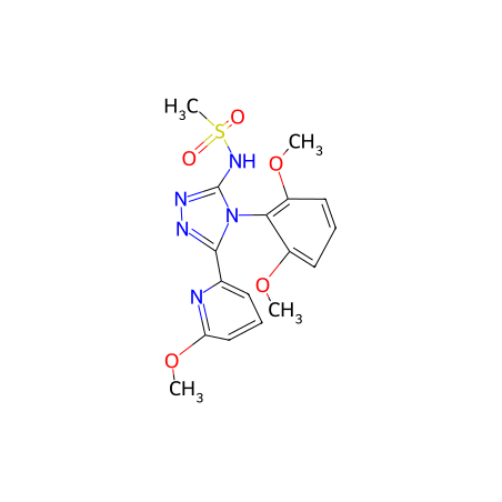 COc1cccc(-c2nnc(NS(C)(=O)=O)n2-c2c(OC)cccc2OC)n1